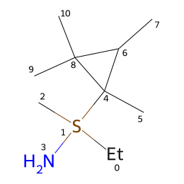 CCS(C)(N)C1(C)C(C)C1(C)C